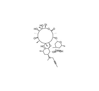 CC#CCN(C)[C@H]1C[C@@H](C)O[C@@H](O[C@@H]2C[C@H](O[C@H]3C[C@@](C)(OC)[C@@H](O)[C@H](C)O3)[C@@H](C)C(=O)O[C@H](CC)[C@@](C)(O)[C@H](O)[C@@H](C)C(=O)[C@H](C)C[C@@]2(C)O)[C@@H]1O